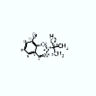 CC(C)(C)[S+]([O-])/N=C\c1cccc(Br)c1